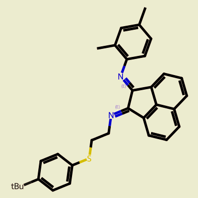 Cc1ccc(/N=C2/C(=N/CCSc3ccc(C(C)(C)C)cc3)c3cccc4cccc2c34)c(C)c1